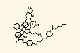 CCCCOC(=O)N1CCC(CCCCOc2ccc(C[C@H](NC(=O)[C@@](CCCCN)(N(C(=O)OCCCC)C(=O)C(CS)NC(=O)CNC(=O)CN)C(c3ccccc3)(c3ccccc3)c3ccccc3)C(=O)O)cc2)CC1